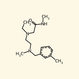 CCN(CCN(C)Cc1cccc(C)c1)CC(=O)NC